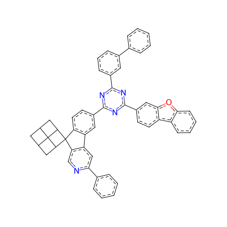 c1ccc(-c2cccc(-c3nc(-c4ccc5c(c4)-c4cc(-c6ccccc6)ncc4C54C5CC6CC7CC4C675)nc(-c4ccc5c(c4)oc4ccccc45)n3)c2)cc1